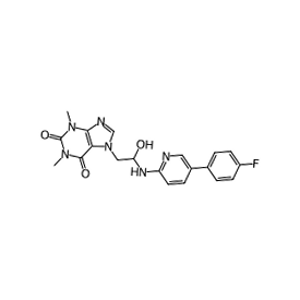 Cn1c(=O)c2c(ncn2CC(O)Nc2ccc(-c3ccc(F)cc3)cn2)n(C)c1=O